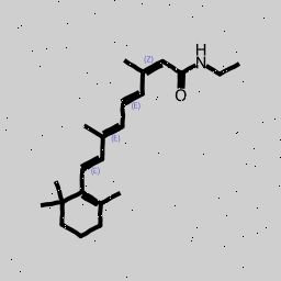 CCNC(=O)\C=C(C)/C=C/C=C(C)/C=C/C1=C(C)CCCC1(C)C